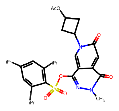 CC(=O)OC1CC(n2cc3c(OS(=O)(=O)c4c(C(C)C)cc(C(C)C)cc4C(C)C)nn(C)c(=O)c3cc2=O)C1